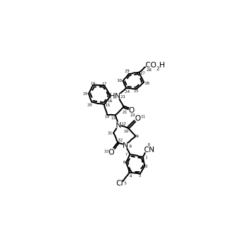 N#Cc1ccc(Cl)cc1N1CC(=O)N(C(Cc2ccccc2)C(=O)Nc2ccc(C(=O)O)cc2)CC1=O